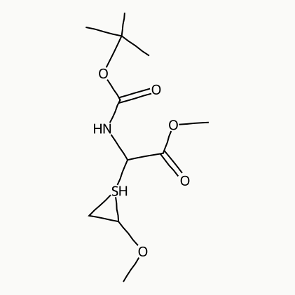 COC(=O)C(NC(=O)OC(C)(C)C)[SH]1CC1OC